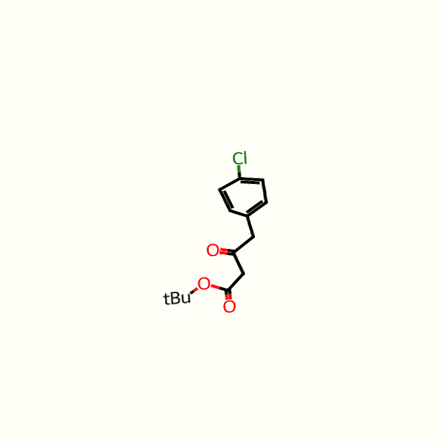 CC(C)(C)OC(=O)CC(=O)Cc1ccc(Cl)cc1